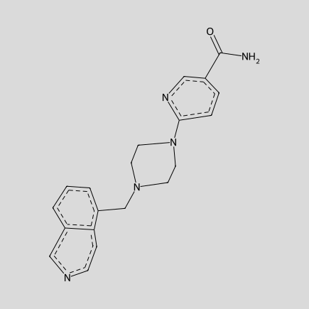 NC(=O)c1ccc(N2CCN(Cc3cccc4cnccc34)CC2)nc1